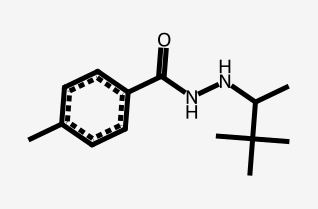 Cc1ccc(C(=O)NNC(C)C(C)(C)C)cc1